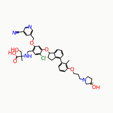 Cc1c(OCCCN2CC[C@@H](O)C2)cccc1-c1cccc2c1CCC2Oc1cc(OCc2cncc(C#N)c2)c(CNC(C)(CO)C(=O)O)cc1Cl